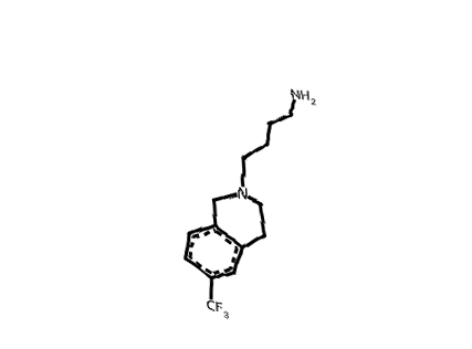 NCCCCN1CCc2cc(C(F)(F)F)ccc2C1